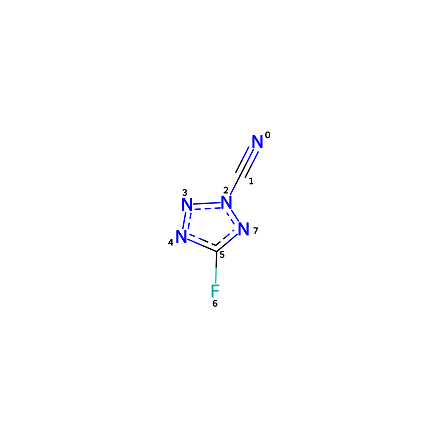 N#Cn1nnc(F)n1